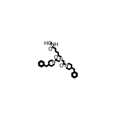 O=C(CCCCCN(CC(=O)N1CCC(Cc2ccccc2)CC1)CC(=O)N1CCC(Cc2ccccc2)CC1)NO